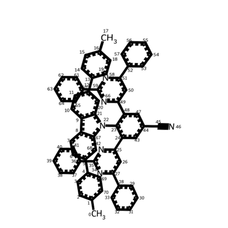 Cc1ccc(-c2ccc3c4ccc(-c5ccc(C)cc5)cc4n(-c4c(-c5cc(-c6ccccc6)nc(-c6ccccc6)n5)cc(C#N)cc4-c4cc(-c5ccccc5)nc(-c5ccccc5)n4)c3c2)cc1